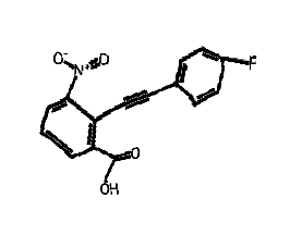 O=C(O)c1cccc([N+](=O)[O-])c1C#Cc1ccc(F)cc1